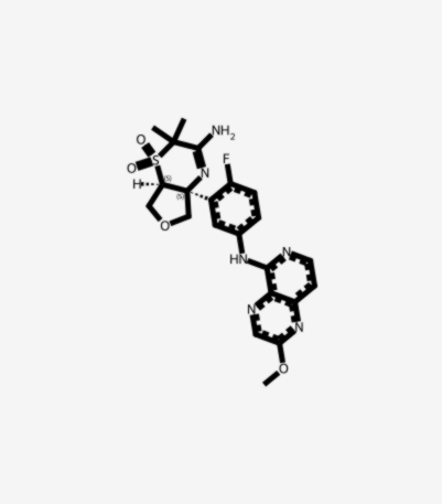 COc1cnc2c(Nc3ccc(F)c([C@]45COC[C@H]4S(=O)(=O)C(C)(C)C(N)=N5)c3)nccc2n1